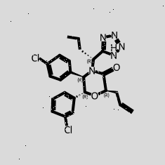 C=CC[C@H]1O[C@H](c2cccc(Cl)c2)[C@@H](c2ccc(Cl)cc2)N([C@H](CCC)c2nnn[nH]2)C1=O